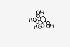 OOC1CCC(OO)C(OO)C1OO